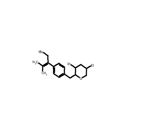 CCC1COC(Cc2ccc(C(CC(C)(C)C)=C(C)C)cc2)C(CC)C1